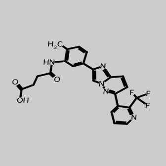 Cc1ccc(-c2cn3nc(-c4cccnc4C(F)(F)F)ccc3n2)cc1NC(=O)CCC(=O)O